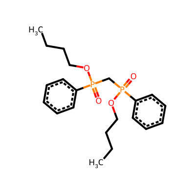 CCCCOP(=O)(CP(=O)(OCCCC)c1ccccc1)c1ccccc1